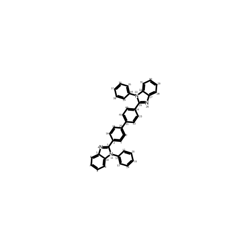 C1=C=C(c2nc3ccccc3n2-c2ccccc2)C=CC=1c1ccc(-c2nc3ccccc3n2-c2ccccc2)cc1